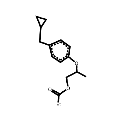 CCC(=O)OCC(C)Oc1ccc(CC2CC2)cc1